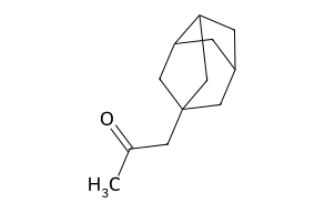 CC(=O)CC12CC3CC(C1)C(C3)C2